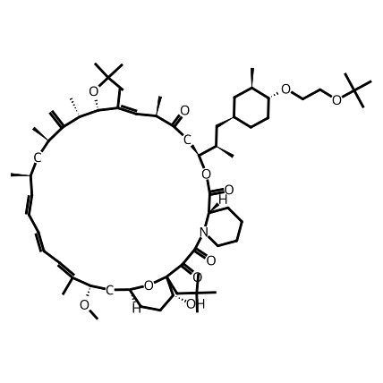 C=C1[C@H](C)C[C@H](C)/C=C/C=C/C=C(\C)[C@@H](OC)C[C@@H]2CC[C@@H](O)C(CC(C)(C)C)(O2)C(=O)C(=O)N2CCCC[C@H]2C(=O)O[C@H]([C@H](C)C[C@@H]2CC[C@@H](OCCOC(C)(C)C)[C@H](C)C2)CC(=O)[C@H](C)/C=C(\C)[C@@H](OC(C)(C)C)[C@H]1C